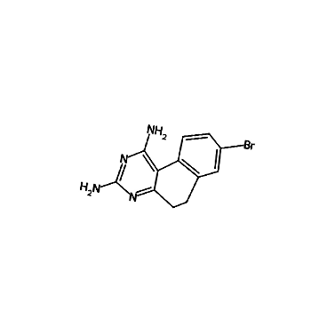 Nc1nc(N)c2c(n1)CCc1cc(Br)ccc1-2